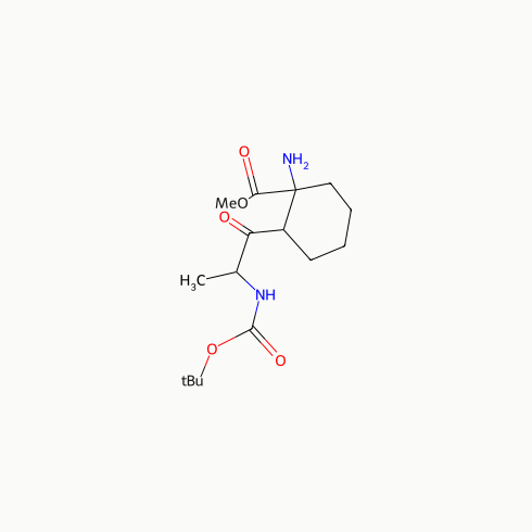 COC(=O)C1(N)CCCCC1C(=O)C(C)NC(=O)OC(C)(C)C